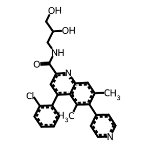 Cc1cc2nc(C(=O)NCC(O)CO)cc(-c3ccccc3Cl)c2c(C)c1-c1ccncc1